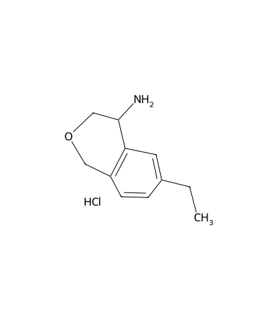 CCc1ccc2c(c1)C(N)COC2.Cl